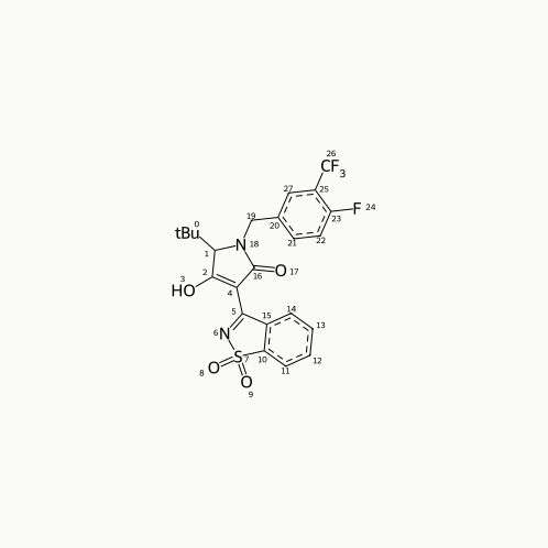 CC(C)(C)C1C(O)=C(C2=NS(=O)(=O)c3ccccc32)C(=O)N1Cc1ccc(F)c(C(F)(F)F)c1